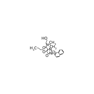 CCCCOc1c(C(=O)N(CCO)C(C)C)nc(Cc2cccc3ccccc23)[nH]c1=O